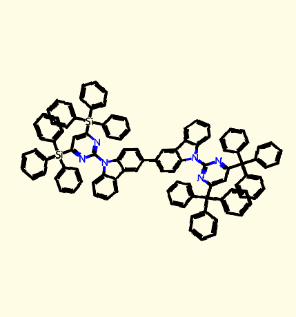 c1ccc(C(c2ccccc2)(c2ccccc2)c2cc(C(c3ccccc3)(c3ccccc3)c3ccccc3)nc(-n3c4ccccc4c4cc(-c5ccc6c(c5)c5ccccc5n6-c5nc([Si](c6ccccc6)(c6ccccc6)c6ccccc6)cc([Si](c6ccccc6)(c6ccccc6)c6ccccc6)n5)ccc43)n2)cc1